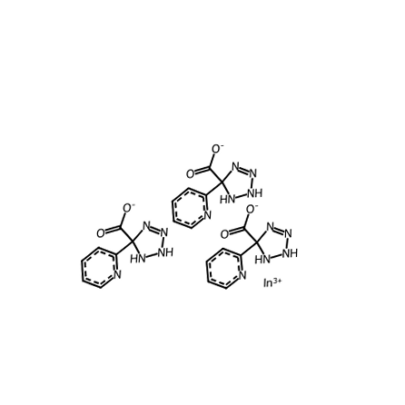 O=C([O-])C1(c2ccccn2)N=NNN1.O=C([O-])C1(c2ccccn2)N=NNN1.O=C([O-])C1(c2ccccn2)N=NNN1.[In+3]